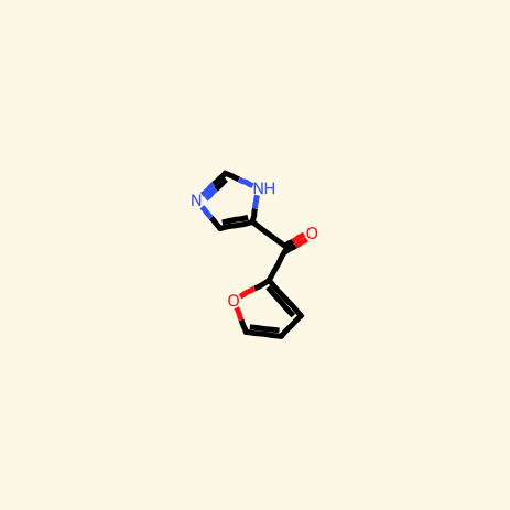 O=C(c1cnc[nH]1)c1ccco1